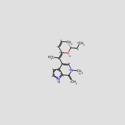 C=C1c2[nH]ccc2C(/C(C)=C(/C=C\C)OCCC)=CN1C